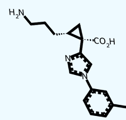 Cc1cccc(-n2cnc([C@]3(C(=O)O)C[C@H]3CCCN)c2)c1